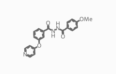 COc1ccc(C(=O)NNC(=O)c2cccc(Oc3ccncc3)c2)cc1